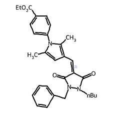 CCCCN1C(=O)/C(=C/c2cc(C)n(-c3ccc(C(=O)OCC)cc3)c2C)C(=O)N1Cc1ccccc1